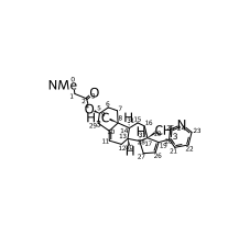 CNCC(=O)O[C@H]1CC[C@@]2(C)C(=CC[C@@H]3[C@@H]2CC[C@]2(C)C(c4cccnc4)=CC[C@@H]32)C1